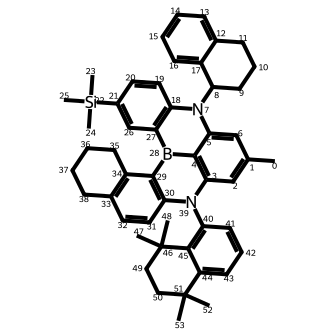 Cc1cc2c3c(c1)N(C1CCCc4ccccc41)c1ccc([Si](C)(C)C)cc1B3c1c(ccc3c1CCCC3)N2c1cccc2c1C(C)(C)CCC2(C)C